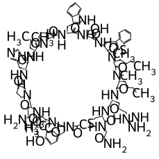 CCCC[C@H]1C(=O)N(C)[C@@H](CCCC)C(=O)N[C@@H](CCCNC(=N)N)C(=O)NC(C(=O)NCC(N)=O)CSCC(=O)N[C@@H](Cc2ccc(O)cc2)C(=O)N([13CH3])[C@@H](C)C(=O)N[C@@H](CC(N)=O)C(=O)N2CCC[C@H]2C(=O)N[C@@H](Cc2cnc[nH]2)C(=O)N[C@@H](CC(C)C)C(=O)N2CCC[C@H]2C(=O)N[C@@H](Cc2c[nH]c3ccccc23)C(=O)N[C@@H](CO)C(=O)N[C@@H](Cc2csc3ccccc23)C(=O)N1C